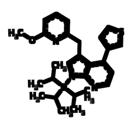 COc1cccc(Cc2cn([Si](C(C)C)(C(C)C)C(C)C)c3nccc(-c4ccsc4)c23)n1